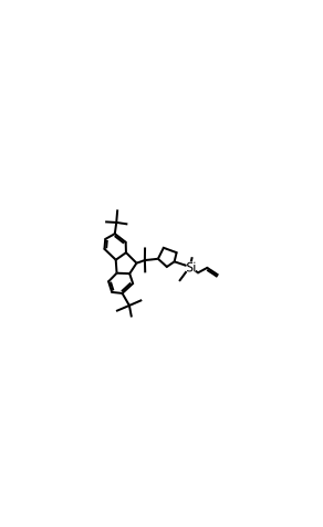 C=CC[Si](C)(C)C1CCC(C(C)(C)C2C3C=C(C(C)(C)C)C=CC3C3C=CC(C(C)(C)C)=CC32)C1